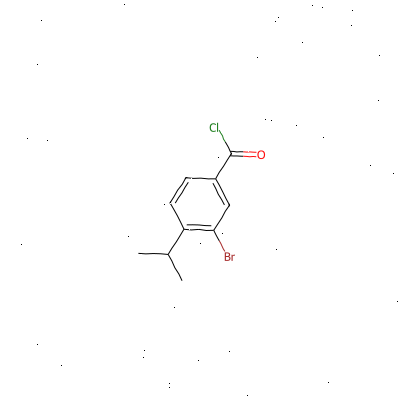 CC(C)c1ccc(C(=O)Cl)cc1Br